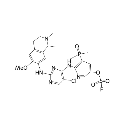 COc1cc2c(cc1Nc1ncc(Cl)c(Nc3ncc(OS(=O)(=O)F)cc3P(C)(C)=O)n1)C(C)N(C)CC2